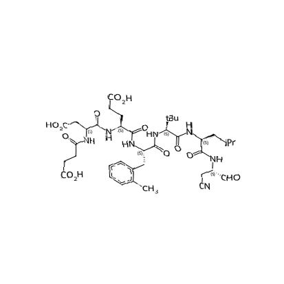 Cc1ccccc1C[C@H](NC(=O)[C@H](CCC(=O)O)NC(=O)[C@H](CC(=O)O)NC(=O)CCC(=O)O)C(=O)N[C@H](C(=O)N[C@@H](CC(C)C)C(=O)N[C@H](C=O)CC#N)C(C)(C)C